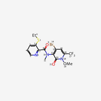 CCSc1cccnc1C(=O)N(C)c1c(Br)cc(C(F)(F)F)n(OC)c1=O